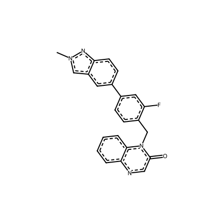 Cn1cc2cc(-c3ccc(Cn4c(=O)cnc5ccccc54)c(F)c3)ccc2n1